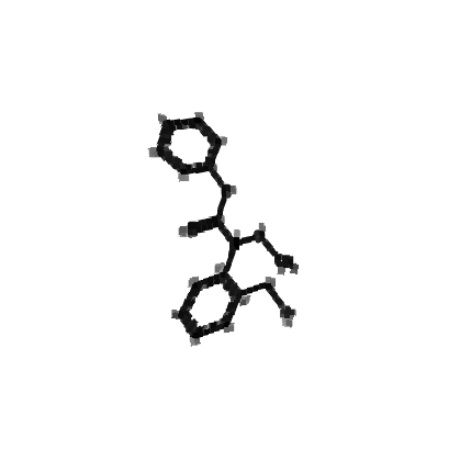 CON(C(=O)Oc1ccccc1)c1ccccc1CBr